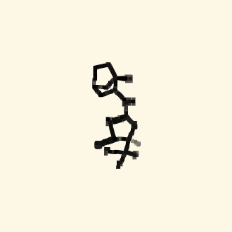 C[C@@]1(C(F)(F)F)SC(NC2CC3CC[C@H]2C3)=NC1=O